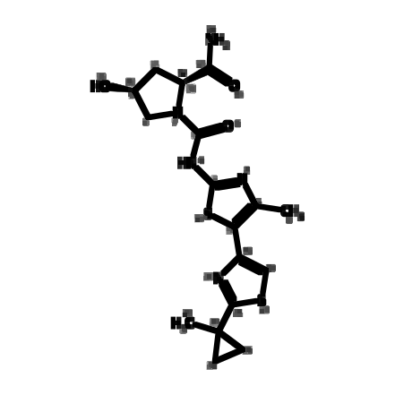 Cc1nc(NC(=O)N2C[C@@H](O)C[C@H]2C(N)=O)sc1-c1csc(C2(C)CC2)n1